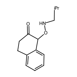 CC(C)CNOC1C(=O)CCc2ccccc21